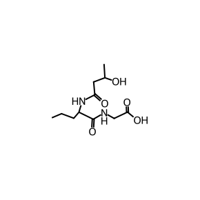 CCCC(NC(=O)CC(C)O)C(=O)NCC(=O)O